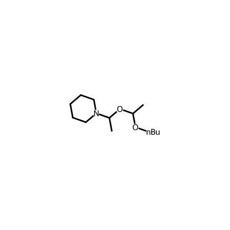 CCCCOC(C)OC(C)N1CCCCC1